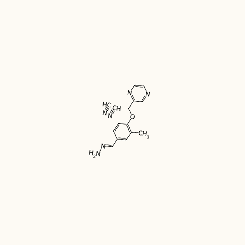 C#N.C#N.Cc1cc(C=NN)ccc1OCc1cnccn1